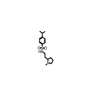 CC(C)c1ccc(S(=O)(=O)NCCC2CCCN2C)cc1